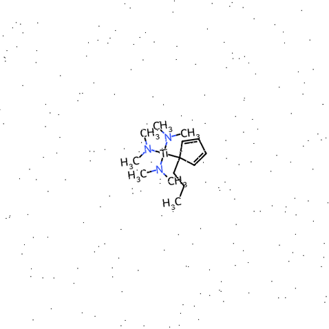 CCC[C]1([Ti]([N](C)C)([N](C)C)[N](C)C)C=CC=C1